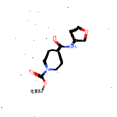 CC(C)(C)OC(=O)N1CCC(C(=O)NC2CCOC2)CC1